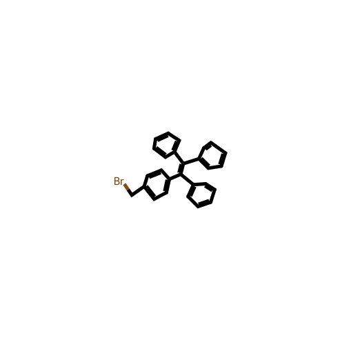 BrCc1ccc(C(=C(c2ccccc2)c2ccccc2)c2ccccc2)cc1